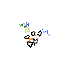 CC#N.C[C](C)(C)[Pd]([CH2]P(c1ccccc1)c1ccccc1)[CH2]P(c1ccccc1)c1ccccc1.Cl.F[B-](F)(F)F.N